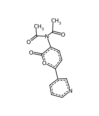 CC(=O)N(C(C)=O)c1ccc(-c2cccnc2)oc1=O